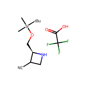 CC(C)(C)[Si](C)(C)OC[C@H]1NCC1C#N.O=C(O)C(F)(F)F